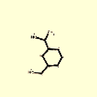 CC(O)C1CCCC(CO)C1